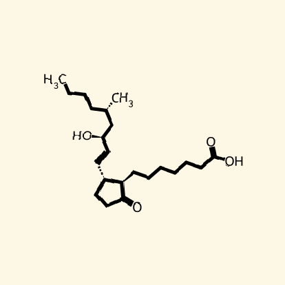 CCCC[C@H](C)C[C@H](O)C=C[C@H]1CCC(=O)[C@@H]1CCCCCCC(=O)O